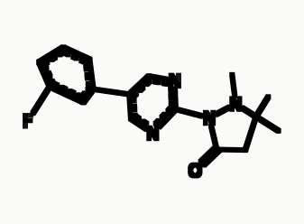 CN1N(c2ncc(-c3cccc(F)c3)cn2)C(=O)CC1(C)C